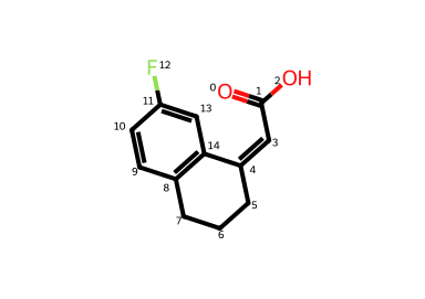 O=C(O)/C=C1/CCCc2ccc(F)cc21